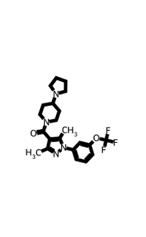 Cc1nn(-c2cccc(OC(F)(F)F)c2)c(C)c1C(=O)N1CCC(N2CCCC2)CC1